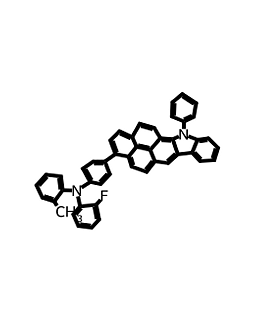 Cc1ccccc1N(c1ccc(-c2ccc3ccc4c5c(ccc2c35)cc2c3ccccc3n(-c3ccccc3)c24)cc1)c1ccccc1F